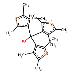 Cc1sc(C)c(C(O)(c2c(C)sc(C)c2C)c2c(C)sc(C)c2C)c1C